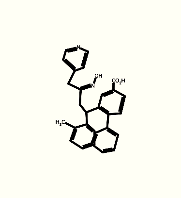 Cc1ccccc1C(CC(Cc1ccncc1)=NO)c1cc(C(=O)O)ccc1-c1ccccc1